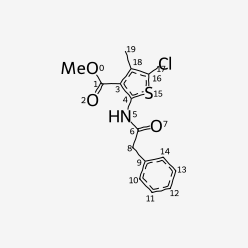 COC(=O)c1c(NC(=O)Cc2ccccc2)sc(Cl)c1C